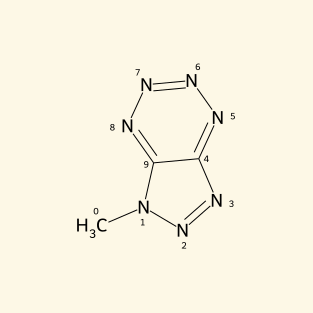 Cn1nnc2nnnnc21